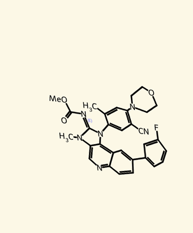 COC(=O)/N=c1\n(C)c2cnc3ccc(-c4cccc(F)c4)cc3c2n1-c1cc(C#N)c(N2CCOCC2)cc1C